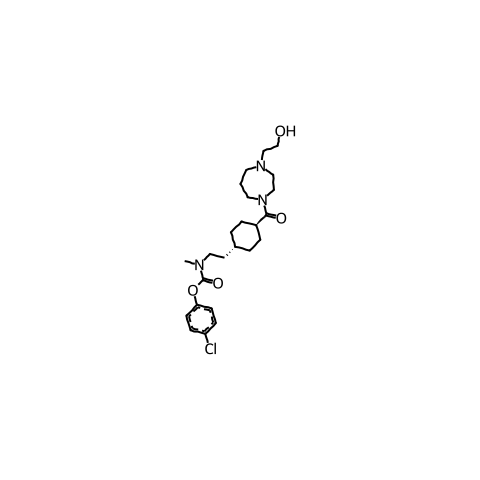 CN(CC[C@H]1CC[C@H](C(=O)N2CCCN(CCO)CC2)CC1)C(=O)Oc1ccc(Cl)cc1